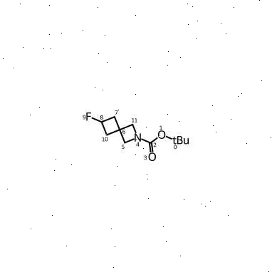 CC(C)(C)OC(=O)N1CC2(CC(F)C2)C1